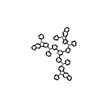 c1ccc(N(c2cccc(-c3cc(-c4cccc(N(c5ccccc5)c5ccc6c(c5)c5cc7ccccc7cc5n6-c5ccccc5)c4)nc(-c4cccc(N(c5ccccc5)c5ccc6c(c5)c5cc7ccccc7cc5n6-c5ccccc5)c4)n3)c2)c2ccc3c(c2)c2cc4ccccc4cc2n3-c2ccccc2)cc1